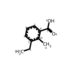 [CH2]Cc1cccc(C(=O)O)c1C